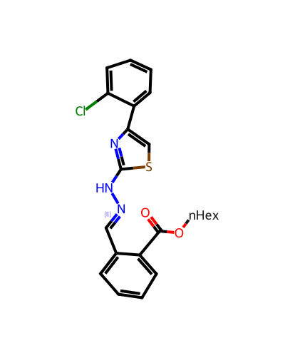 CCCCCCOC(=O)c1ccccc1/C=N/Nc1nc(-c2ccccc2Cl)cs1